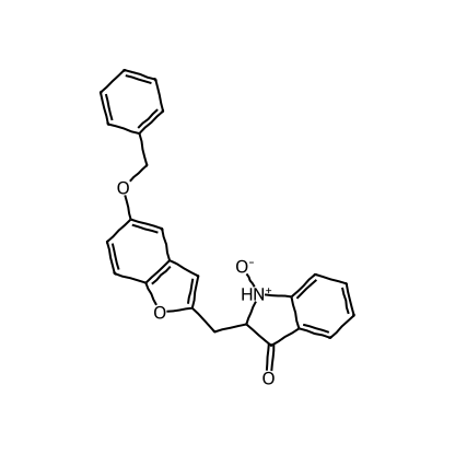 O=C1c2ccccc2[NH+]([O-])C1Cc1cc2cc(OCc3ccccc3)ccc2o1